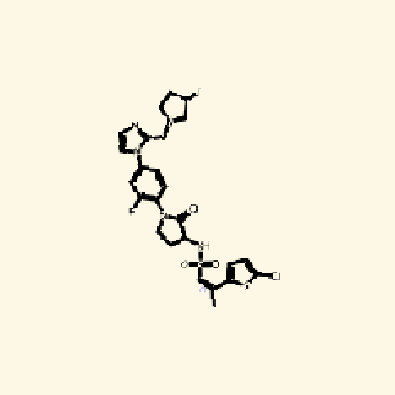 C/C(=C/S(=O)(=O)NC1CCN(c2ccc(-n3ccnc3CN3CCC(F)C3)cc2F)C1=O)c1ccc(Cl)s1